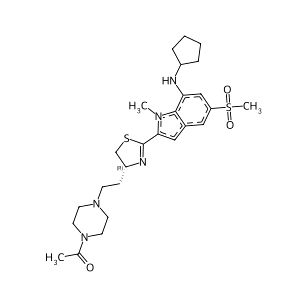 CC(=O)N1CCN(CC[C@@H]2CSC(c3cc4cc(S(C)(=O)=O)cc(NC5CCCC5)c4n3C)=N2)CC1